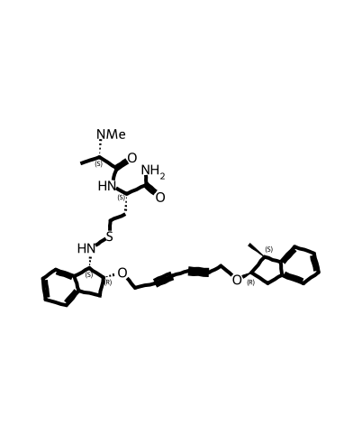 CN[C@@H](C)C(=O)N[C@@H](CCSN[C@H]1c2ccccc2C[C@H]1OCC#CC#CCO[C@@H]1Cc2ccccc2[C@@H]1C)C(N)=O